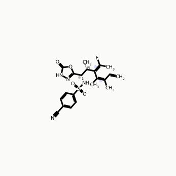 C=C/C(C)=C(C)\C(=C(/C)F)[C@@H](C)[C@H](NS(=O)(=O)c1ccc(C#N)cc1)c1n[nH]c(=O)o1